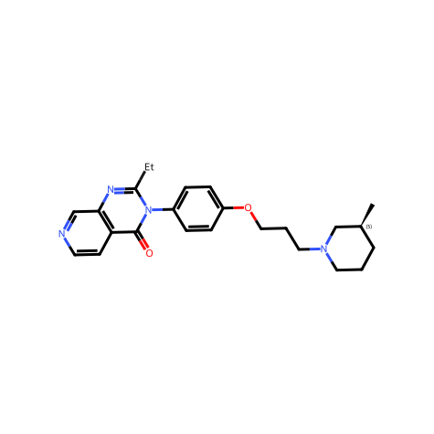 CCc1nc2cnccc2c(=O)n1-c1ccc(OCCCN2CCC[C@H](C)C2)cc1